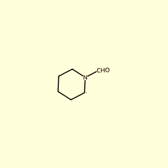 O=CN1[CH]CCCC1